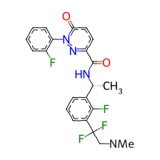 CNCC(F)(F)c1cccc([C@@H](C)NC(=O)c2ccc(=O)n(-c3ccccc3F)n2)c1F